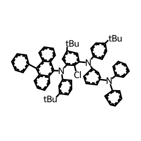 CC(C)(C)c1ccc(N(c2cccc(N(c3ccccc3)c3ccccc3)c2)c2cc(C(C)(C)C)cc(N(c3cccc(C(C)(C)C)c3)c3c4ccccc4c(-c4ccccc4)c4ccccc34)c2Cl)cc1